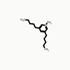 CCCCCc1cc(CCCCC)c[n+](C)c1